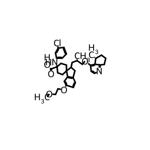 COCCOc1ccc2c(c1)C1(CCC(Nc3cccc(Cl)c3)(C(=O)O)CC1)C(C[C@@H](C)COc1ccnc3c1[C@H](C)CCC3)C2